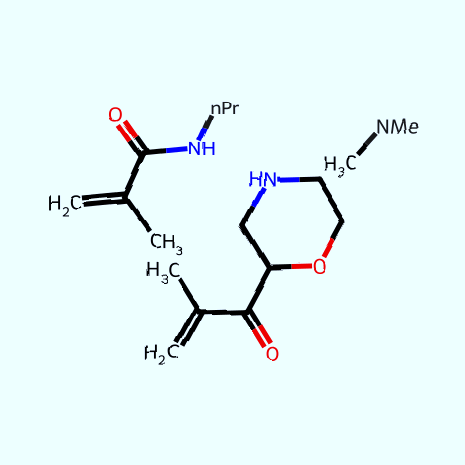 C=C(C)C(=O)C1CNCCO1.C=C(C)C(=O)NCCC.CNC